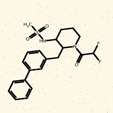 CS(=O)(=O)NC1CCCN(C(=O)C(F)F)C1Cc1cccc(-c2ccccc2)c1